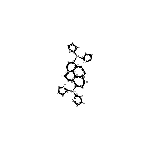 c1csc(N(c2cccs2)c2ccc3ccc4c(N(c5cccs5)c5cccs5)ccc5ccc2c3c54)c1